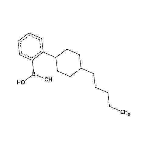 CCCCCC1CCC(c2ccccc2B(O)O)CC1